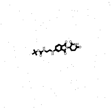 CC(C)(C)OC(=O)NCCNc1ccc2c(c1)C(=O)N(C1CCC(=O)NC1=O)C2=O